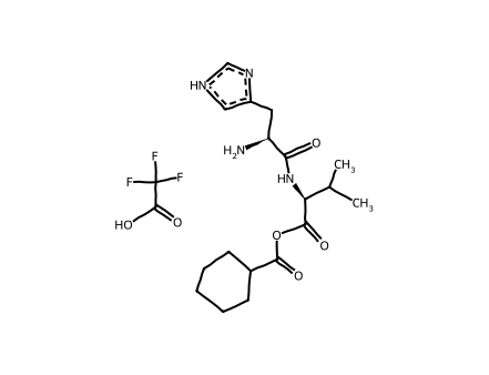 CC(C)[C@H](NC(=O)[C@@H](N)Cc1c[nH]cn1)C(=O)OC(=O)C1CCCCC1.O=C(O)C(F)(F)F